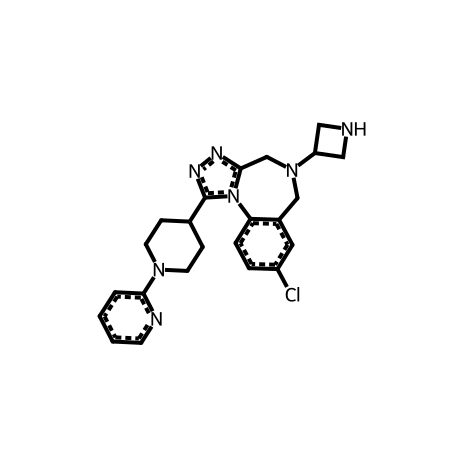 Clc1ccc2c(c1)CN(C1CNC1)Cc1nnc(C3CCN(c4ccccn4)CC3)n1-2